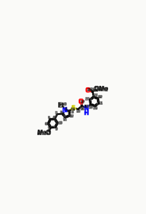 CCn1c(Cc2ccc(OC)cc2)ccc1SCC(=O)Nc1cccc(C(=O)OC)c1